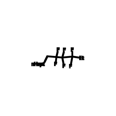 CCCCCCCCC(F)(F)C(F)(F)C(F)(F)CC